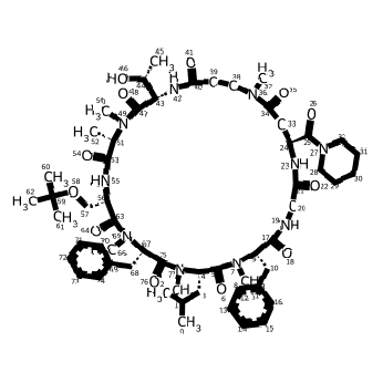 CC(C)C[C@H]1C(=O)N(C)[C@@H](Cc2ccccc2)C(=O)NCC(=O)N[C@H](C(=O)N2CCCCC2)CC(=O)N(C)CCC(=O)N[C@@H]([C@@H](C)O)C(=O)N(C)[C@@H](C)C(=O)N[C@@H](COC(C)(C)C)C(=O)N(C)[C@@H](Cc2ccccc2)C(=O)N1C